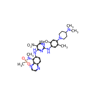 COc1cc(N2CCC(N(C)C)CC2)c(C)cc1Nc1ncc([N+](=O)[O-])c(Nc2ccc3nccnc3c2N(C)S(C)(=O)=O)n1